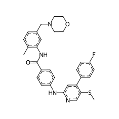 CSc1cnc(Nc2ccc(C(=O)Nc3cc(CN4CCOCC4)ccc3C)cc2)cc1-c1ccc(F)cc1